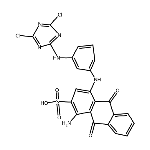 Nc1c(S(=O)(=O)O)cc(Nc2cccc(Nc3nc(Cl)nc(Cl)n3)c2)c2c1C(=O)c1ccccc1C2=O